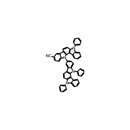 N#Cc1ccc2c(c1)c1ccc3c(c4ccccc4n3-c3ccccc3)c1n2-c1ccc2c(c1)c1ccc3c(c4ccccc4n3-c3ccccc3)c1n2-c1ccccc1